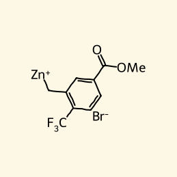 COC(=O)c1ccc(C(F)(F)F)c([CH2][Zn+])c1.[Br-]